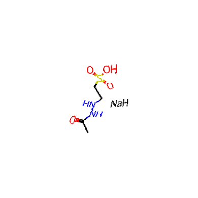 CC(=O)NNCCS(=O)(=O)O.[NaH]